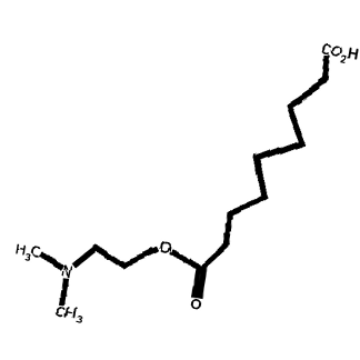 CN(C)CCOC(=O)CCCCCCCC(=O)O